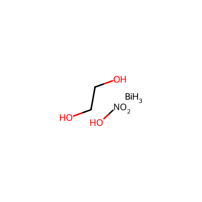 O=[N+]([O-])O.OCCO.[BiH3]